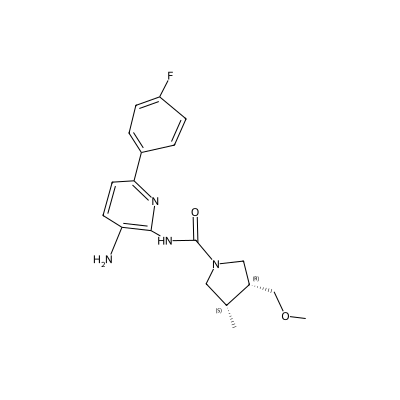 COC[C@H]1CN(C(=O)Nc2nc(-c3ccc(F)cc3)ccc2N)C[C@H]1C